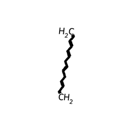 C=CC=CC=CCC=CCC=CC=C